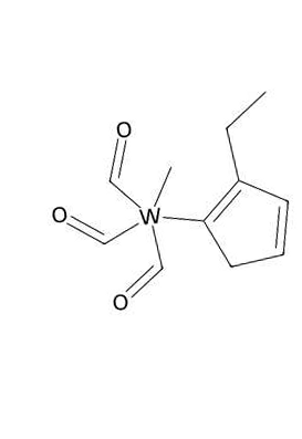 CCC1=[C]([W]([CH3])([CH]=O)([CH]=O)[CH]=O)CC=C1